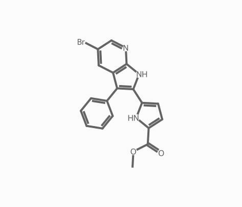 COC(=O)c1ccc(-c2[nH]c3ncc(Br)cc3c2-c2ccccc2)[nH]1